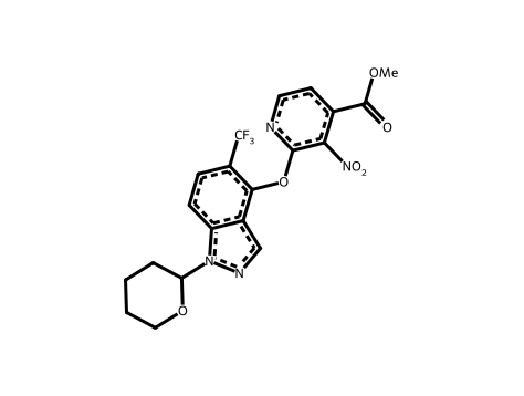 COC(=O)c1ccnc(Oc2c(C(F)(F)F)ccc3c2cnn3C2CCCCO2)c1[N+](=O)[O-]